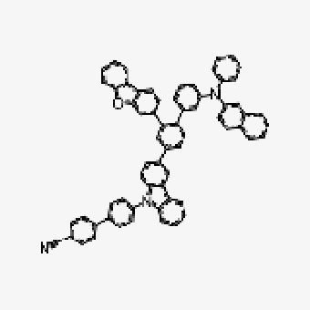 N#Cc1ccc(-c2ccc(-n3c4ccccc4c4cc(-c5ccc(-c6cccc(N(c7ccccc7)c7ccc8ccccc8c7)c6)c(-c6ccc7c(c6)oc6ccccc67)c5)ccc43)cc2)cc1